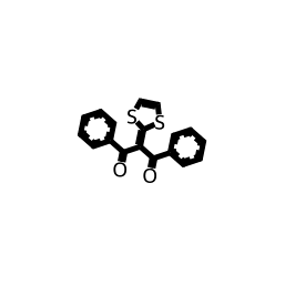 O=C(C(C(=O)c1ccccc1)=C1SC=CS1)c1ccccc1